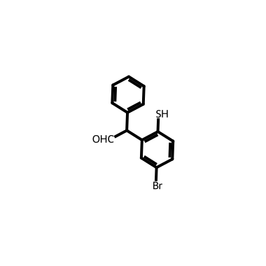 O=CC(c1ccccc1)c1cc(Br)ccc1S